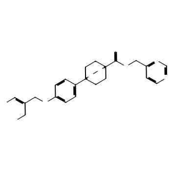 NC/C(=C\F)COc1ccc(C23CCC(C(=O)NCc4ccncn4)(CC2)CC3)cc1